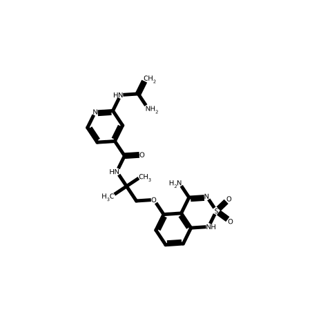 C=C(N)Nc1cc(C(=O)NC(C)(C)COc2cccc3c2C(N)=NS(=O)(=O)N3)ccn1